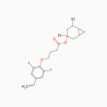 C=Cc1cc(I)c(OCCCC(=O)OC2(CC)CC(CC)C3CC3C2)c(I)c1